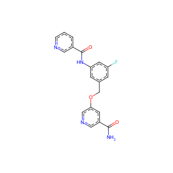 NC(=O)c1cncc(OCc2cc(F)cc(NC(=O)c3cccnc3)c2)c1